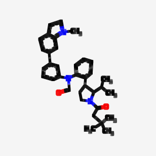 CC(C)C1C(c2ccccc2N(C=O)c2cccc(-c3ccc4ccn(C)c4c3)c2)CCN1C(=O)CC(C)(C)C